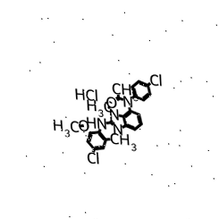 COc1cc(Cl)cc(C)c1Nc1nc2cccc(N(C(C)=O)c3ccc(Cl)cc3)c2n1C.Cl